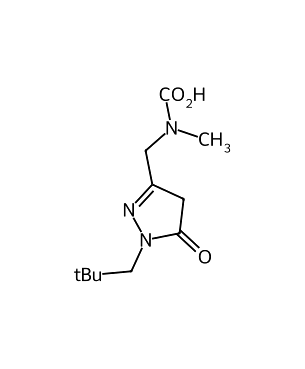 CN(CC1=NN(CC(C)(C)C)C(=O)C1)C(=O)O